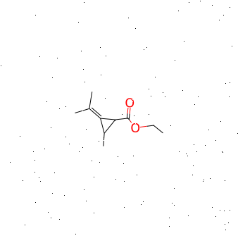 CCOC(=O)C1C(=C(C)C)C1C